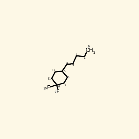 CCCCCC1CCC(F)(F)CC1